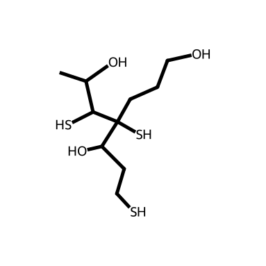 CC(O)C(S)C(S)(CCCO)C(O)CCS